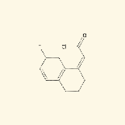 O=C(Cl)/C=C1/CCCc2ccc(F)cc21